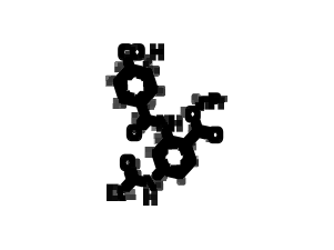 CCCOC(=O)c1ccc(NC(=O)CC)cc1NC(=O)c1ccc(C(=O)O)cc1